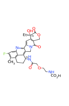 CC[C@@]1(O)C(=O)OCc2c1cc1n(c2=O)Cc2c-1nc1cc(F)c(C)c3c1c2[C@@H](NC(=O)COCCNC(=O)O)CC3